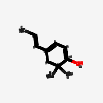 CC(C)(C)C1(C(C)(C)C)CC(/C=C/C#N)=CC=C1O